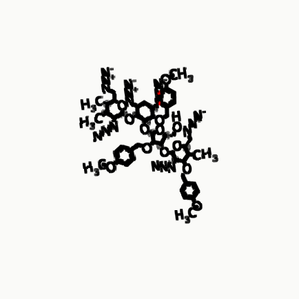 COc1ccc(COC2C(C)[C@H](CN=[N+]=[N-])OC(O[C@@H]3C(OCc4ccc(OC)cc4)[C@H](O[C@@H]4C(OCc5ccc(OC)cc5)[C@H](N=[N+]=[N-])CC(N=[N+]=[N-])[C@H]4O[C@H]4OC(CN=[N+]=[N-])[C@@H](C)[C@H](C)C4N=[N+]=[N-])O[C@@H]3CO)[C@@H]2N=[N+]=[N-])cc1